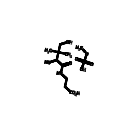 CC(C)(CO)C(O)C(=O)NCCC(=O)O.COS(=O)(=O)O